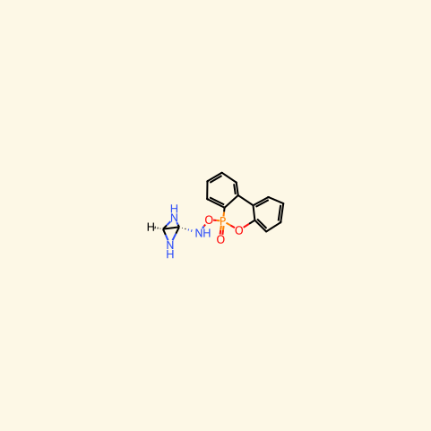 O=P1(ON[C@]23N[C@H]2N3)Oc2ccccc2-c2ccccc21